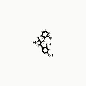 Cc1[nH]nc(-c2ccc(O)cc2O)c1Oc1ccccc1F